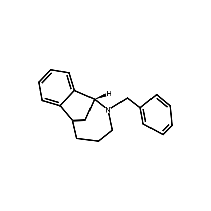 c1ccc(CN2CCCC3C[C@@H]2c2ccccc23)cc1